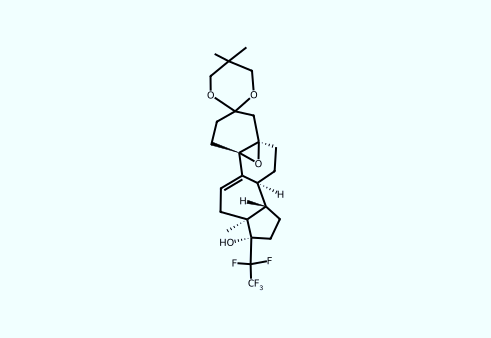 CC1(C)COC2(CC[C@]34O[C@]3(CC[C@@H]3C4=CC[C@@]4(C)[C@H]3CC[C@@]4(O)C(F)(F)C(F)(F)F)C2)OC1